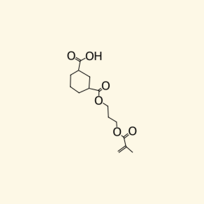 C=C(C)C(=O)OCCCOC(=O)C1CCCC(C(=O)O)C1